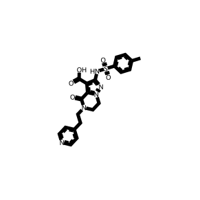 Cc1ccc(S(=O)(=O)Nc2nn3c(c2C(=O)O)C(=O)N(CCc2ccncc2)CC3)cc1